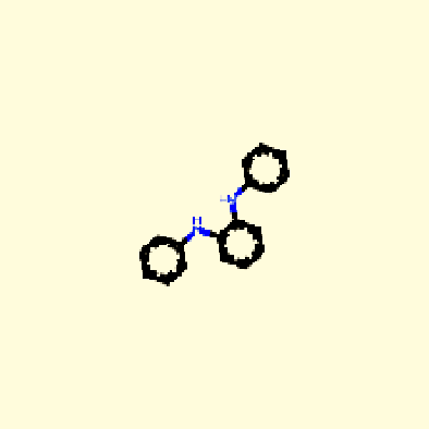 c1ccc(Nc2ccccc2Nc2ccccc2)cc1